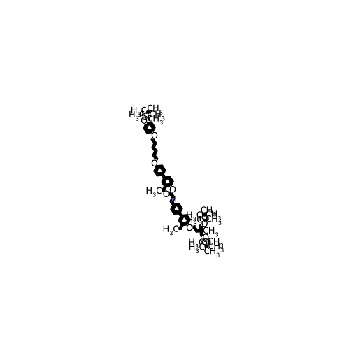 CCc1cc(-c2ccc(/C=C/C(=O)Oc3ccc(-c4ccc(OCCCCCCOc5ccc(O[Si](C)(C)C(C)(C)C)cc5)cc4)cc3CC)cc2)ccc1OCCC(C)(CO[Si](C)(C)C(C)(C)C)CO[Si](C)(C)C(C)(C)C